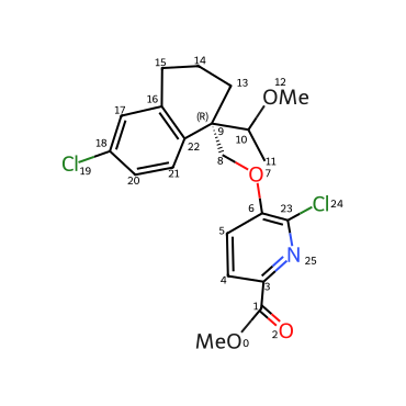 COC(=O)c1ccc(OC[C@@]2(C(C)OC)CCCc3cc(Cl)ccc32)c(Cl)n1